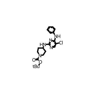 CC(C)(C)OC(=O)N1CCC(Nc2ncc(Cl)c(Nc3ccccc3)n2)CC1